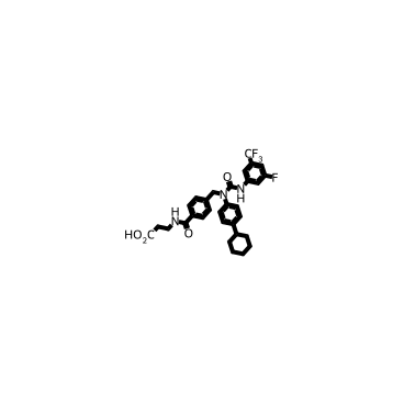 O=C(O)CCNC(=O)c1ccc(CN(C(=O)Nc2cc(F)cc(C(F)(F)F)c2)c2ccc(C3CCCCC3)cc2)cc1